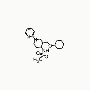 CS(=O)(=O)NC1CCN(c2ccccn2)C[C@H]1COC1CCCCC1